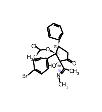 C/N=C(\C)[C@]1(O)C(=O)C[C@@H](c2ccccc2)[C@@]1(OC(C)Cl)c1ccc(Br)cc1